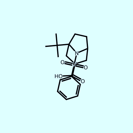 CC(C)(C)C12CCC(CN(C(=O)O)C1)N2S(=O)(=O)c1ccccc1